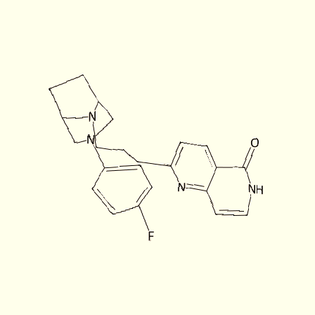 O=c1[nH]ccc2nc(CCCN3C4CCC3CN(c3ccc(F)cc3)C4)ccc12